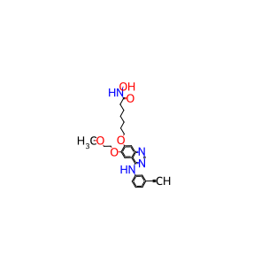 C#Cc1cccc(Nc2ncnc3cc(OCCCCCCC(=O)NO)c(OCCOC)cc23)c1